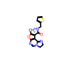 Cc1oc2c(c1C(=O)NCc1cccs1)C1=NCCN1C=N2